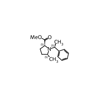 COC(=O)[C@@H]1CC[C@H](C)N1[C@@H](C)c1ccccc1